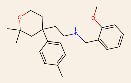 COc1ccccc1CNCCC1(c2ccc(C)cc2)CCOC(C)(C)C1